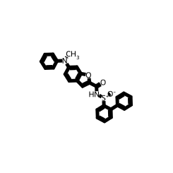 CN(c1ccccc1)c1ccc2cc(C(=O)N[S+]([O-])c3ccccc3-c3ccccc3)oc2c1